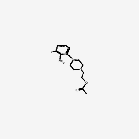 CC(=O)OCCN1CCN(c2cccc(F)c2N)CC1